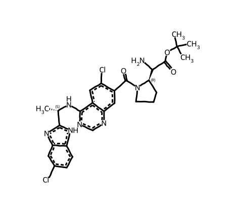 C[C@H](Nc1ncnc2cc(C(=O)N3CCC[C@@H]3C(N)C(=O)OC(C)(C)C)c(Cl)cc12)c1nc2cc(Cl)ccc2[nH]1